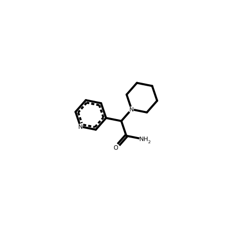 NC(=O)C(c1cccnc1)N1CCCCC1